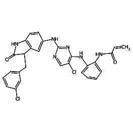 C=CC(=O)Nc1ccccc1Nc1nc(Nc2ccc3c(c2)C(Cc2cccc(Cl)c2)C(=O)N3)ncc1Cl